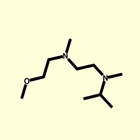 COCCN(C)CCN(C)C(C)C